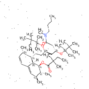 CCCCN(C)C(=O)C[C@@H](C[C@@H](CC[C@@H]1[C@@H]2C(=C[C@H](C)[C@@H](C)[C@@H]2OC(=O)C(C)(C)CC)C=C[C@@H]1C)O[Si](C)(C)C(C)(C)C)O[Si](C)(C)C(C)(C)C